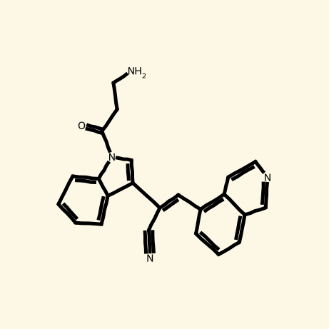 N#CC(=Cc1cccc2cnccc12)c1cn(C(=O)CCN)c2ccccc12